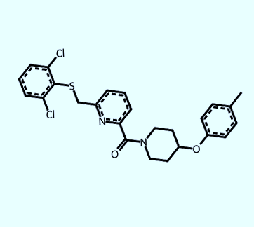 Cc1ccc(OC2CCN(C(=O)c3cccc(CSc4c(Cl)cccc4Cl)n3)CC2)cc1